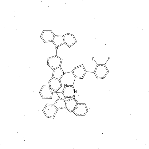 Fc1cccc(-c2ccc(-n3c4cc(-n5c6ccccc6c6ccccc65)ccc4c4ccc(-n5c6ccccc6c6ccccc65)cc43)c(-c3nc(-c4ccccc4)nc(-c4ccccc4)n3)c2)c1F